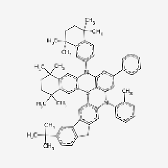 Cc1ccccc1N1c2cc3c(cc2B2c4cc5c(cc4N(c4ccc6c(c4)C(C)(C)CCC6(C)C)c4cc(-c6ccccc6)cc1c42)C(C)(C)CCC5(C)C)-c1cc(C(C)(C)C)ccc1C3